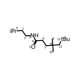 CC(C)CCNC(=O)CCC(C)(C)CC(C)(C)C